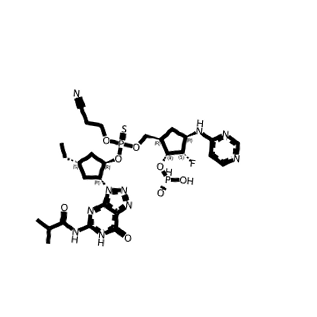 CC[C@H]1C[C@@H](n2nnc3c(=O)[nH]c(NC(=O)C(C)C)nc32)[C@H](OP(=S)(OCCC#N)OC[C@H]2C[C@@H](Nc3ccncn3)[C@H](F)[C@@H]2O[PH](=O)O)C1